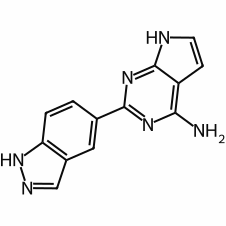 Nc1nc(-c2ccc3[nH]ncc3c2)nc2[nH]ccc12